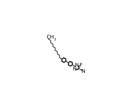 CCCCCCCCCCCCc1ccc(-c2ccc(-c3ncc(C#N)c(F)n3)cc2)cc1